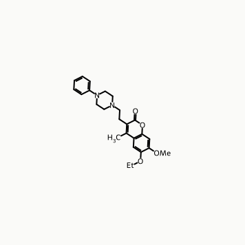 CCOc1cc2c(C)c(CCN3CCN(c4ccccc4)CC3)c(=O)oc2cc1OC